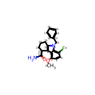 COc1ccc(F)c2c1c1c(n2Cc2ccccc2)CCCC1C(N)=O